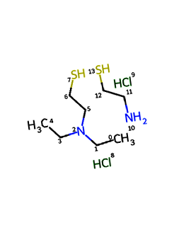 CCN(CC)CCS.Cl.Cl.NCCS